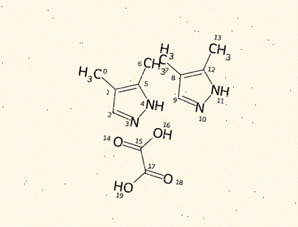 Cc1cn[nH]c1C.Cc1cn[nH]c1C.O=C(O)C(=O)O